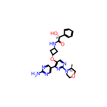 C[C@H]1COCCN1c1ncc(O[C@H]2C[C@H](NC(=O)[C@H](O)c3ccccc3)C2)c(-c2cnc(N)nc2)n1